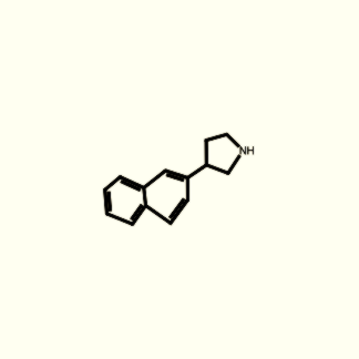 c1ccc2cc(C3CCNC3)ccc2c1